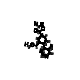 CCc1cc(C(=O)OC)ccc1-c1ncncc1F